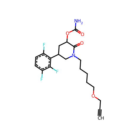 C#CCOCCCCCN1CC(c2c(F)ccc(F)c2F)CC(OC(N)=O)C1=O